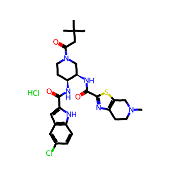 CN1CCc2nc(C(=O)N[C@@H]3CN(C(=O)CC(C)(C)C)CC[C@@H]3NC(=O)c3cc4cc(Cl)ccc4[nH]3)sc2C1.Cl